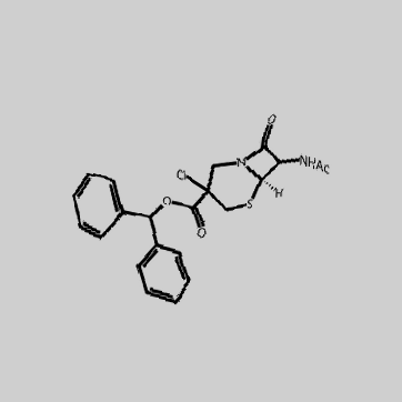 CC(=O)NC1C(=O)N2CC(Cl)(C(=O)OC(c3ccccc3)c3ccccc3)CS[C@H]12